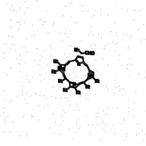 CCC1=C(CC)c2nc1c(CC)c1[nH]c(cc3nc(cc4c(CC)c(CC)c(c2CC)n4CC)C=C3)cc1CC.O=C[CH2][Rh]